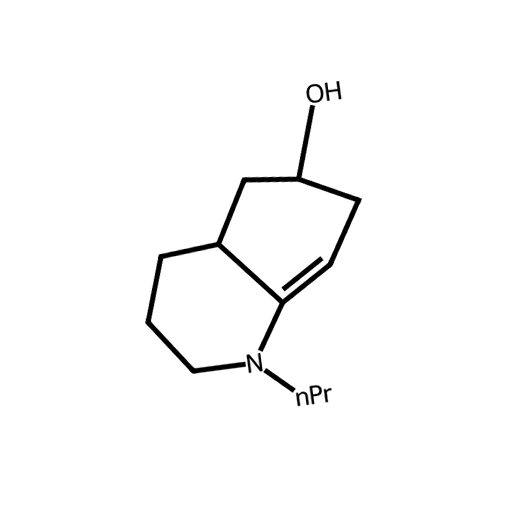 CCCN1CCCC2CC(O)CC=C21